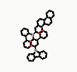 c1ccc(-c2ccccc2N(c2ccc3c(ccc4c5ccccc5ccc34)c2)c2ccc(-n3c4ccccc4c4ccccc43)cc2-c2ccccc2)cc1